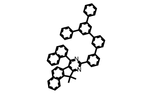 CC1(C)c2nc(-c3cccc(-c4cccc(-c5cc(-c6ccccc6)cc(-c6ccccc6)c5)c4)c3)nc(-c3cccc4ccccc34)c2-c2ccc3ccccc3c21